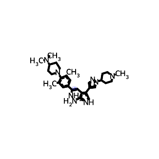 Cc1cc(/C(N)=C/c2c(-c3cnn(C4CCN(C)CC4)c3)c[nH]c2N)cc(C)c1N1CCC(N(C)C)CC1